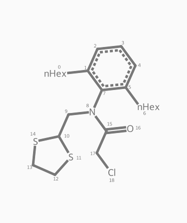 CCCCCCc1cccc(CCCCCC)c1N(CC1SCCS1)C(=O)CCl